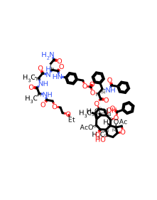 CCOCCOCC(=O)N[C@H](C)C(=O)N[C@H](C)C(=O)N[C@H](CC(N)=O)C(=O)Nc1ccc(COC(=O)O[C@@H](C(=O)O[C@H]2C[C@@]3(O)[C@@H](OC(=O)c4ccccc4)[C@H]4[C@](C)(C(=O)[C@H](OC(C)=O)C(=C2C)C3(C)C)[C@@H](O)CC2OC[C@]24OC(C)=O)[C@@H](NC(=O)c2ccccc2)c2ccccc2)cc1